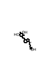 C=C1/C(=C\C=C2/CCC[C@@]3(C)C2CCC3[C@H](C)CCCC(C)(C)O)C[C@@H](O)C(=C)[C@@H]1O